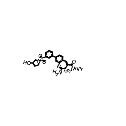 CCCN(CCC)C(=O)C1=Cc2ccc(-c3cccc(S(=O)(=O)N4CCC(O)C4)c3)cc2N=C(N)C1